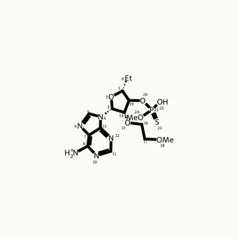 CC[C@H]1O[C@@H](n2cnc3c(N)ncnc32)[C@@H](OCCOC)C1OP(O)(=S)OC